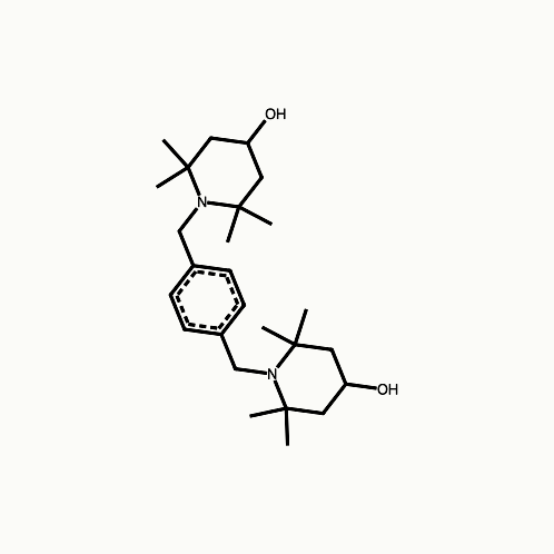 CC1(C)CC(O)CC(C)(C)N1Cc1ccc(CN2C(C)(C)CC(O)CC2(C)C)cc1